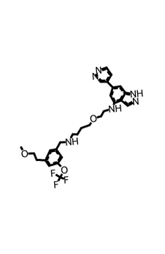 COCCc1cc(CNCCCCOCCNc2cc(-c3ccnnc3)cc3[nH]ncc23)cc(OC(F)(F)F)c1